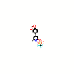 Cc1cc(-c2ccc3c(c2)OCO3)cc(OS(=O)(=O)C(F)(F)F)n1